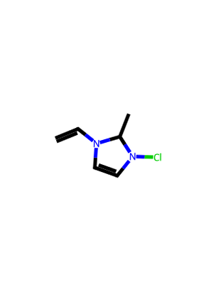 C=CN1C=CN(Cl)C1C